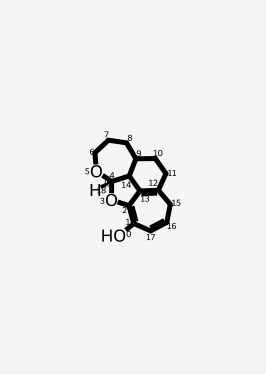 OC1=C2O[C@@H]3OCCCC4CCC(=C2C43)CC=C1